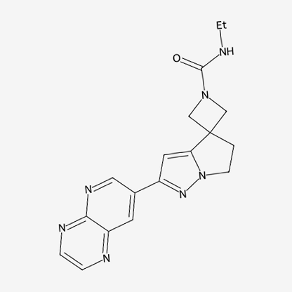 CCNC(=O)N1CC2(CCn3nc(-c4cnc5nccnc5c4)cc32)C1